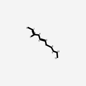 [CH2]/C=C(\C)C/C=C/CCCCC